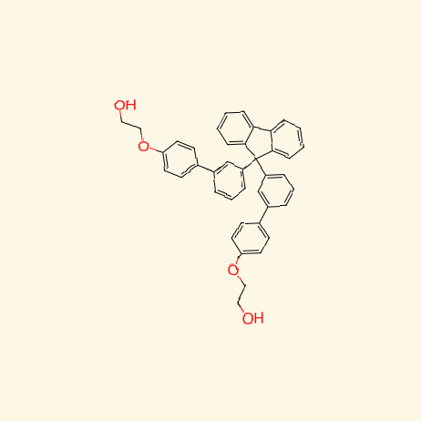 OCCOc1ccc(-c2cccc(C3(c4cccc(-c5ccc(OCCO)cc5)c4)c4ccccc4-c4ccccc43)c2)cc1